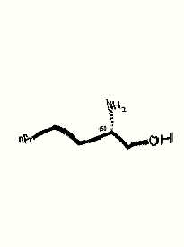 CCCCC[C@H](N)CO